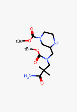 CC(C)(C)OC(=O)N1CCNC(CN(CC(C)(C)C(N)=O)C(=O)OC(C)(C)C)C1